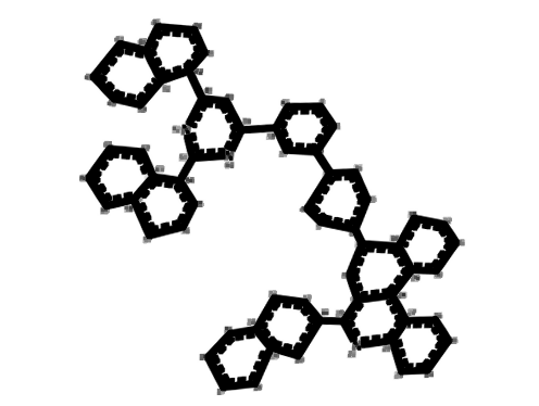 c1cc(-c2ccc(-c3cc4c(-c5ccc6ccccc6c5)nc5ccccc5c4c4ccccc34)cc2)cc(-c2cc(-c3cccc4ccccc34)nc(-c3cccc4ccccc34)n2)c1